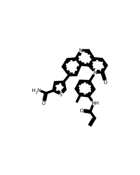 C=CC(=O)Nc1cc(-n2c(=O)ccc3cnc4ccc(-c5csc(C(N)=O)c5)cc4c32)ccc1C